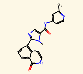 Cn1c(C(=O)Nc2ccnc(C(F)(F)F)c2)cnc1-c1cccc2c(=O)[nH]ccc12